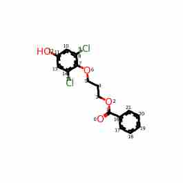 O=C(OCCCOc1c(Cl)cc(O)cc1Cl)c1ccccc1